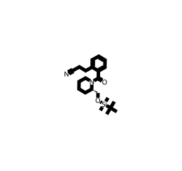 CC(C)(C)[Si](C)(C)OC[C@@H]1CCCCN1C(=O)c1ccccc1CCC#N